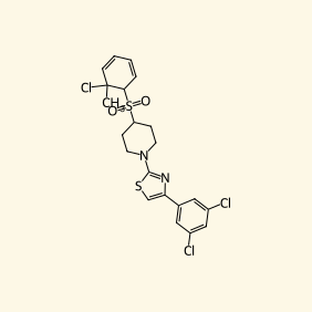 CC1(Cl)C=CC=CC1S(=O)(=O)C1CCN(c2nc(-c3cc(Cl)cc(Cl)c3)cs2)CC1